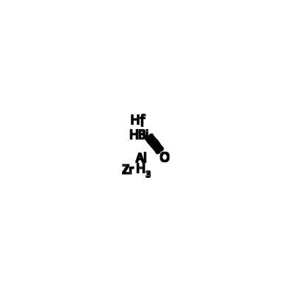 [AlH3].[Hf].[O]=[BiH].[Zr]